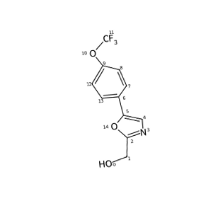 OCc1ncc(-c2ccc(OC(F)(F)F)cc2)o1